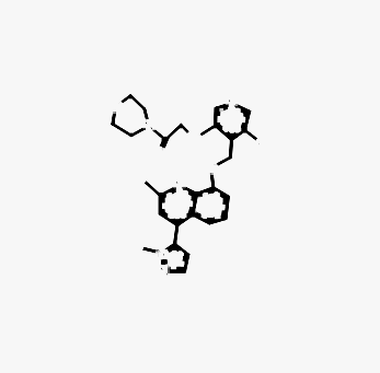 Cc1cc(-c2ccnn2C)c2cccc(OCc3c(Cl)cncc3OCC(=O)N3CCOCC3)c2n1